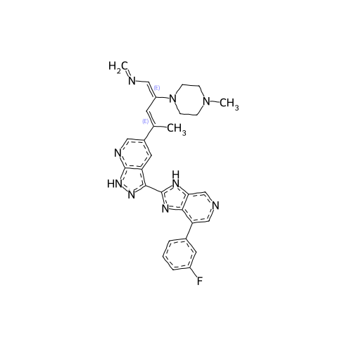 C=N/C=C(\C=C(/C)c1cnc2[nH]nc(-c3nc4c(-c5cccc(F)c5)cncc4[nH]3)c2c1)N1CCN(C)CC1